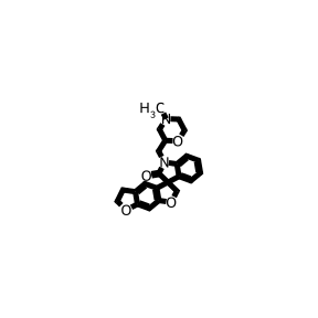 CN1CCOC(CN2C(=O)C3(COc4cc5c(cc43)CCO5)c3ccccc32)C1